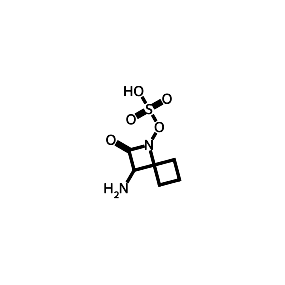 NC1C(=O)N(OS(=O)(=O)O)C12CCC2